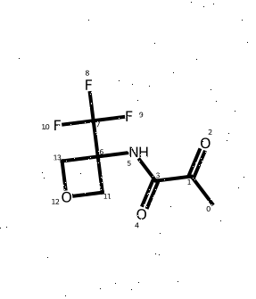 CC(=O)C(=O)NC1(C(F)(F)F)COC1